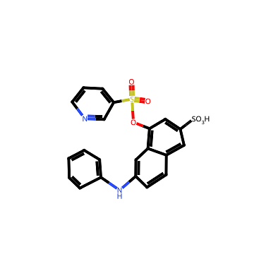 O=S(=O)(O)c1cc(OS(=O)(=O)c2cccnc2)c2cc(Nc3ccccc3)ccc2c1